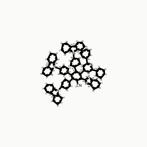 N#Cc1c(-c2ccc(-n3c4ccccc4c4ccccc43)cc2)c(-c2ccc(-n3c4ccccc4c4ccccc43)cc2)c(-c2ccc(-n3c4ccccc4c4ccccc43)cc2)c(-c2cc(-c3ccccc3)nc(-c3ccccc3)c2)c1-c1nc2ccccc2s1